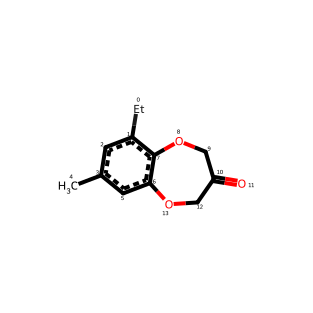 CCc1cc(C)cc2c1OCC(=O)CO2